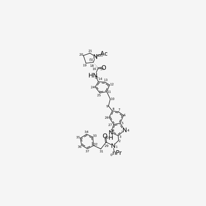 CCCN(Cc1nc2ccc(CCc3ccc(NC(=O)[C@@H]4CCCN4C(C)=O)cc3)cc2[nH]1)C(=O)Cc1ccccc1